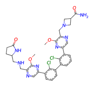 COc1nc(-c2cccc(-c3cccc(-c4cnc(CN5CC(C(N)=O)C5)c(OC)n4)c3Cl)c2Cl)cnc1CNCC1CCC(=O)N1